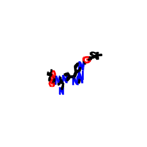 CC(C)(C)OC(=O)N1CC(CC#N)(n2ccc(-c3ncnc4c3ccn4COCC[Si](C)(C)C)c2)C1